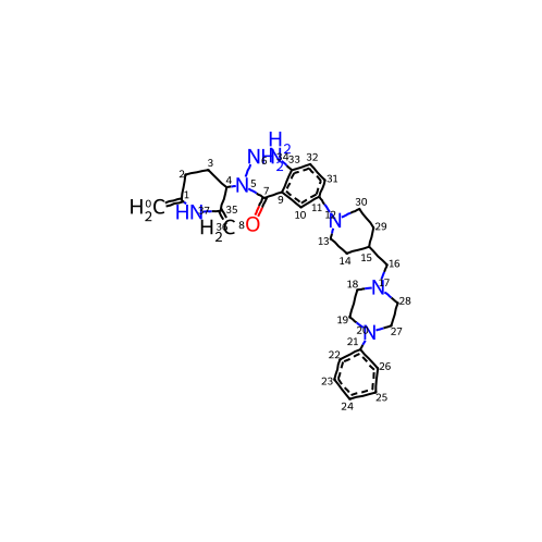 C=C1CCC(N(N)C(=O)c2cc(N3CCC(CN4CCN(c5ccccc5)CC4)CC3)ccc2N)C(=C)N1